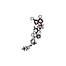 CC(C)C1=C(C(=O)N2[C@H](C)CC[C@H]2C(=O)N2CCN(CCO[Si](C)(C)C(C)(C)C)C(C)(C)C2)SC2=N[C@@](C)(c3ccc(Cl)cc3)[C@@H](c3ccc(Cl)cc3)N21